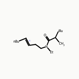 CCCC/C=C/CCN(CC)C(=O)C(C)C(C)CC